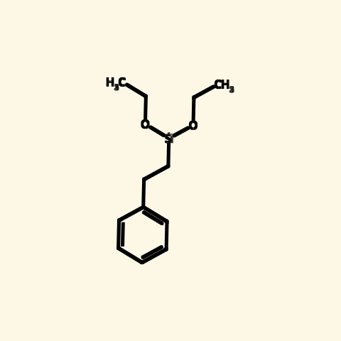 CCO[Si](CCc1ccccc1)OCC